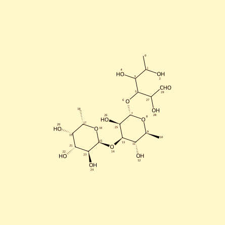 CC(O)C(O)C(O[C@@H]1O[C@@H](C)[C@H](O)[C@@H](O[C@@H]2O[C@@H](C)[C@@H](O)[C@@H](O)[C@@H]2O)[C@H]1O)C(O)C=O